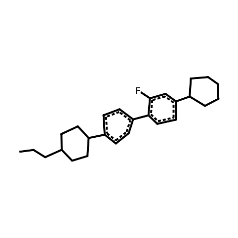 CCCC1CCC(c2ccc(-c3ccc(C4CCCCC4)cc3F)cc2)CC1